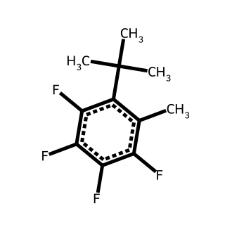 Cc1c(F)c(F)c(F)c(F)c1C(C)(C)C